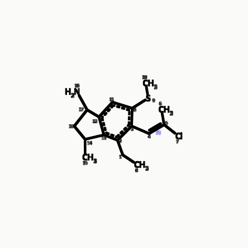 CCc1c(/C=C(\C)Cl)c(SC)cc2c1C(C)CC2N